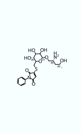 C[C@@H](O)C[C@@H](N)CO[C@H]1OC(CSC2=CC(=O)N(c3ccccc3)C2=O)[C@H](O)C(O)C1O